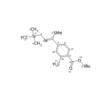 CSC(=NC[Si](C)(C)C)c1ccc(C(=O)OC(C)(C)C)c(C)c1